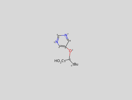 CC(C)(C)C(Oc1cncnc1)C(=O)O